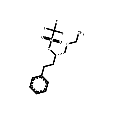 CCOC[C@H](CCc1ccccc1)OS(=O)(=O)C(F)(F)F